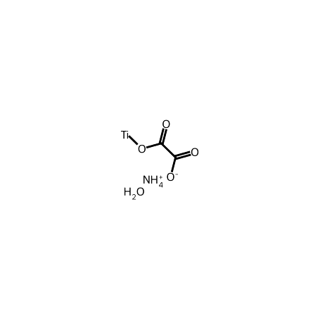 O.O=C([O-])C(=O)[O][Ti].[NH4+]